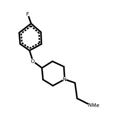 CNCCN1CCC(Oc2ccc(F)cc2)CC1